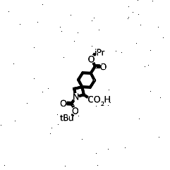 CC(C)OC(=O)C1CCC2(CC1)CN(C(=O)OC(C)(C)C)C2C(=O)O